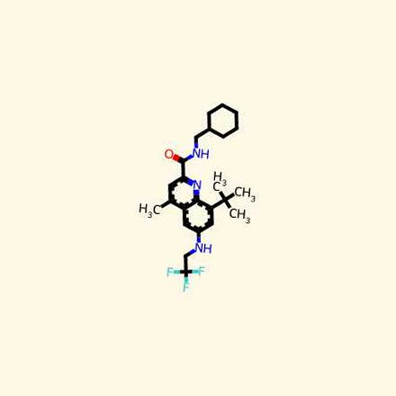 Cc1cc(C(=O)NCC2CCCCC2)nc2c(C(C)(C)C)cc(NCC(F)(F)F)cc12